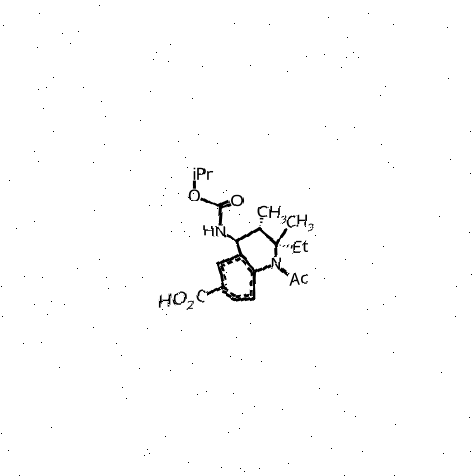 CC[C@@]1(C)[C@@H](C)[C@H](NC(=O)OC(C)C)c2cc(C(=O)O)ccc2N1C(C)=O